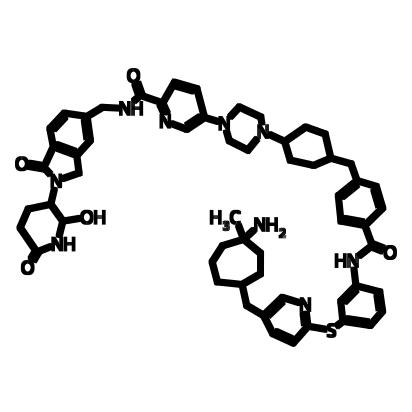 CC1(N)CCCC(Cc2ccc(Sc3cccc(NC(=O)c4ccc(CC5CCC(N6CCN(c7ccc(C(=O)NCc8ccc9c(c8)CN(C8CCC(=O)NC8O)C9=O)nc7)CC6)CC5)cc4)c3)nc2)CC1